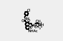 CC(=O)Nc1ccc2cc(C(=O)NCc3ccc(Cl)cc3)c(=O)n(CC(=O)N(C)CC(C)(C)CO)c2n1